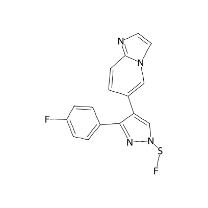 FSn1cc(-c2ccc3nccn3c2)c(-c2ccc(F)cc2)n1